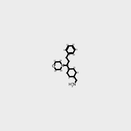 NCC1CCC(C(CCc2ccccc2)N2CCOCC2)CC1